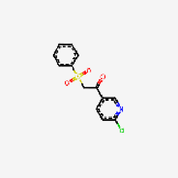 O=C(CS(=O)(=O)c1ccccc1)c1ccc(Cl)nc1